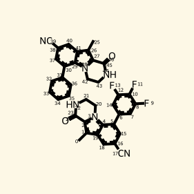 Cc1c2n(c3c(-c4cc(F)c(F)c(F)c4)cc(C#N)cc13)CCNC2=O.Cc1c2n(c3c(-c4ccccc4)cc(C#N)cc13)CCNC2=O